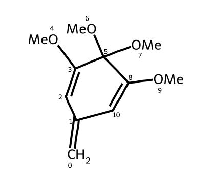 C=C1C=C(OC)C(OC)(OC)C(OC)=C1